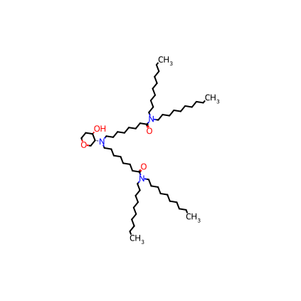 CCCCCCCCCCN(CCCCCCCCCC)C(=O)CCCCCCCN(CCCCCCCC(=O)N(CCCCCCCCCC)CCCCCCCCCC)[C@@H]1COCC[C@H]1O